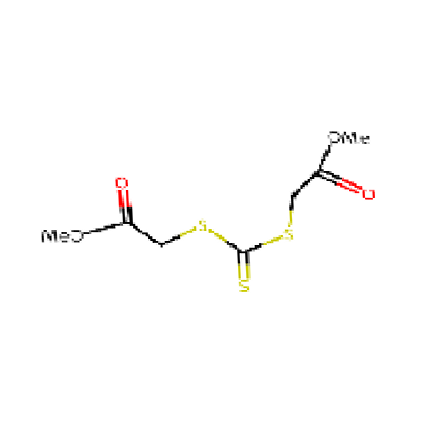 COC(=O)CSC(=S)SCC(=O)OC